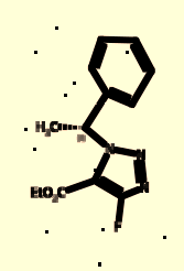 CCOC(=O)c1c(F)nnn1[C@H](C)c1ccccc1